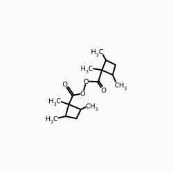 CC1CC(C)C1(C)C(=O)OOC(=O)C1(C)C(C)CC1C